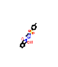 Cc1ccc(S(=O)(=O)N/C=C\N(C)N2C(=O)c3ccccc3C2O)cc1